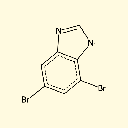 Brc1cc(Br)c2c(c1)N=C[N]2